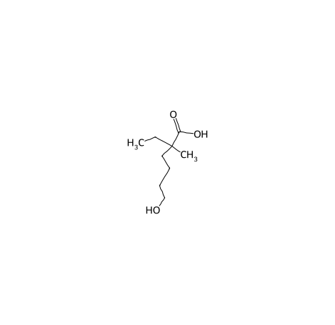 CCC(C)(CCCCO)C(=O)O